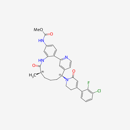 COC(=O)Nc1ccc2c(c1)NC(=O)[C@H](C)CCC[C@H](N1CCC(c3cccc(Cl)c3F)=CC1=O)c1ccnc-2c1